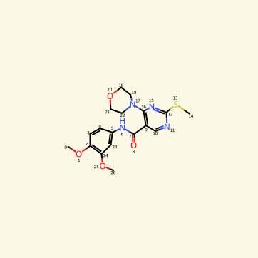 COc1ccc(NC(=O)c2cnc(SC)nc2N2CCOCC2)cc1OC